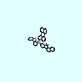 CC1(C)c2cc(N(c3ccc(-c4cccc5cccc(-c6ccccc6)c45)cc3)c3cccc4c3sc3ccccc34)ccc2-c2ccc3ccccc3c21